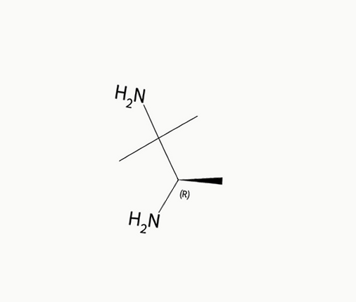 C[C@@H](N)C(C)(C)N